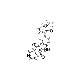 CC1(C)COc2c(-c3ccc4[nH]c5c(c4c3)C(=O)c3cnccc3C5=O)cccc21